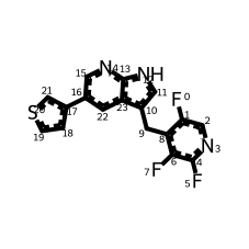 Fc1cnc(F)c(F)c1Cc1c[nH]c2ncc(-c3ccsc3)cc12